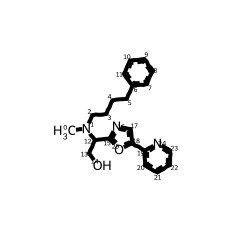 CN(CCCCc1ccccc1)C(CO)c1ncc(-c2ccccn2)o1